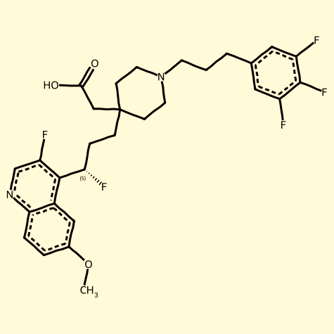 COc1ccc2ncc(F)c([C@@H](F)CCC3(CC(=O)O)CCN(CCCc4cc(F)c(F)c(F)c4)CC3)c2c1